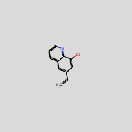 C=Cc1cc(O)c2ncccc2c1